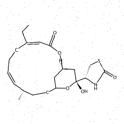 CC/C1=C/C(=O)O[C@@H]2CC(CC[C@H](C)/C=C\CC1)O[C@@](O)([C@@H]1CSC(=O)N1)C2